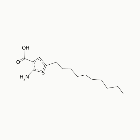 CCCCCCCCCCc1cc(C(=O)O)c(N)s1